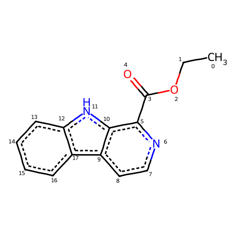 CCOC(=O)c1nccc2c1[nH]c1ccccc12